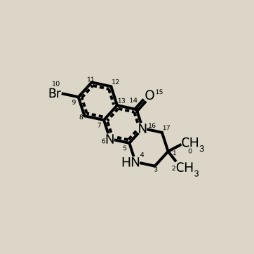 CC1(C)CNc2nc3cc(Br)ccc3c(=O)n2C1